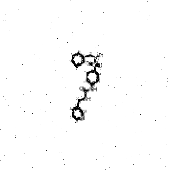 CCN(Cc1ccccc1)S(=O)(=O)c1ccc(NC(=O)NCc2cccnc2)cc1